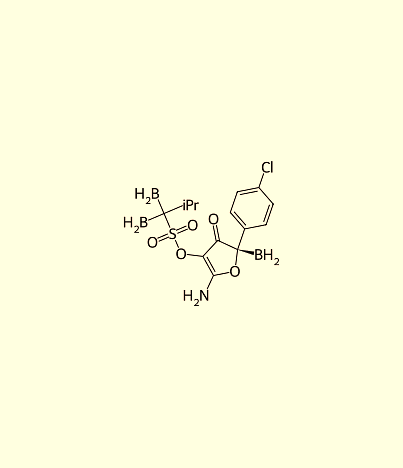 BC(B)(C(C)C)S(=O)(=O)OC1=C(N)O[C@@](B)(c2ccc(Cl)cc2)C1=O